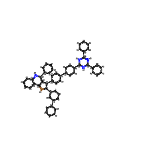 c1ccc(-c2cccc(-c3sc4c(c(-c5ccccc5)nc5ccccc54)c3-c3ccc(-c4ccc(-c5nc(-c6ccccc6)nc(-c6ccccc6)n5)cc4)cc3)c2)cc1